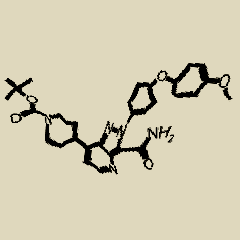 COc1ccc(Oc2ccc(-n3nc4c(C5CCN(C(=O)OC(C)(C)C)CC5)ccnc4c3C(N)=O)cc2)cc1